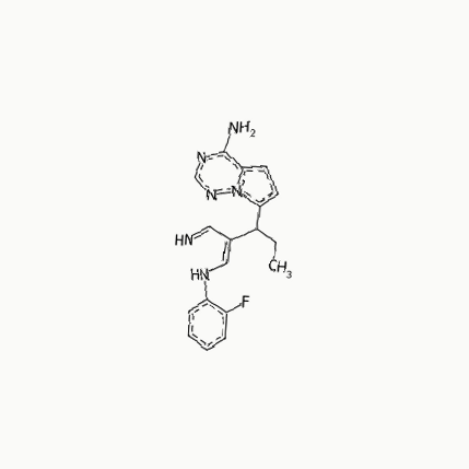 CCC(/C(C=N)=C/Nc1ccccc1F)c1ccc2c(N)ncnn12